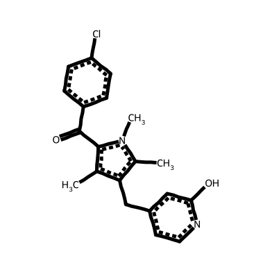 Cc1c(Cc2ccnc(O)c2)c(C)n(C)c1C(=O)c1ccc(Cl)cc1